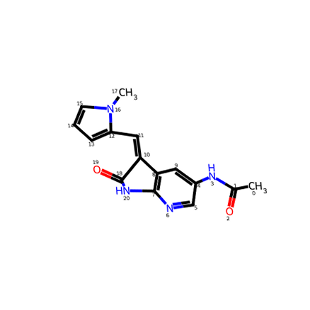 CC(=O)Nc1cnc2c(c1)C(=Cc1cccn1C)C(=O)N2